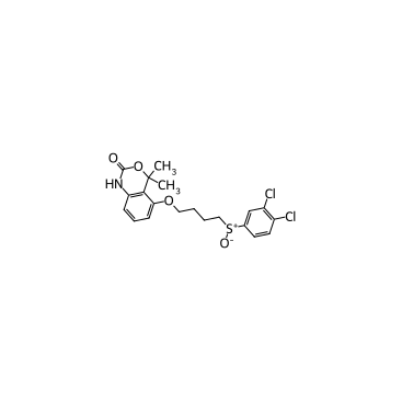 CC1(C)OC(=O)Nc2cccc(OCCCC[S+]([O-])c3ccc(Cl)c(Cl)c3)c21